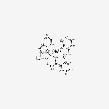 COC1(N2C3C=CC=CC3=CN2C)CCOC(c2ccccc2OCc2ccccc2)C1